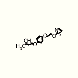 CC(C)=CCOc1ccc(OCCOc2nccs2)cc1